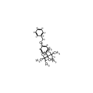 CC(C)(C)C(O)(c1ccc(OCc2ccccc2)cc1)C(C)(C)C